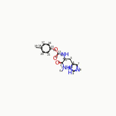 CNC(=O)[C@H](Cc1cnc[nH]1)NC(=O)Oc1ccc(C)cc1